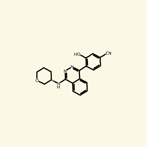 N#Cc1ccc(-c2nnc(N[C@@H]3CCCOC3)c3ccccc23)c(O)c1